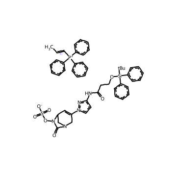 C/C=C/[P+](c1ccccc1)(c1ccccc1)c1ccccc1.CC(C)(C)[Si](OCCC(=O)Nc1ccn(C2=CC3CN(C2)C(=O)N3OS(=O)(=O)[O-])n1)(c1ccccc1)c1ccccc1